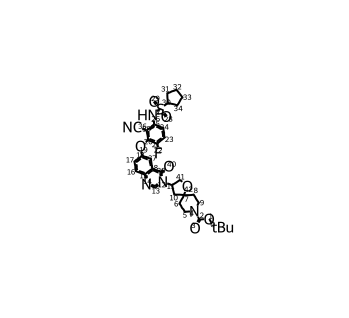 CC(C)(C)OC(=O)N1CCC2(CC1)CC(n1cnc3ccc(Oc4c(F)ccc(NS(=O)(=O)C5CCCC5)c4C#N)cc3c1=O)CO2